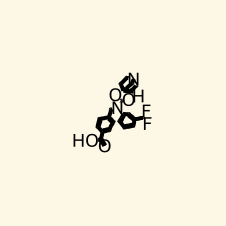 O=C(O)c1ccc(CN(C(=O)O[C@H]2CN3CCC2CC3)c2cccc(C(F)F)c2)cc1